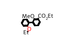 CCOC(=O)c1cccc(-c2ccccc2OCC)c1OC